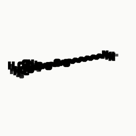 CC(C)(C)[Si](C)(C)OCCOCCOCCOCCOCCCCCCCCCCCCN=[N+]=[N-]